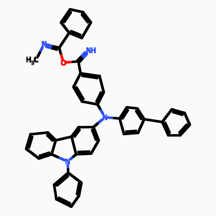 C/N=C(\OC(=N)c1ccc(N(c2ccc(-c3ccccc3)cc2)c2ccc3c(c2)c2ccccc2n3-c2ccccc2)cc1)c1ccccc1